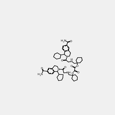 NC(=O)c1ccc2c(c1)CCN(C(=O)CNCC1(OC(=O)C(=O)OC3(CNCC(=O)N4CCc5cc(C(N)=O)ccc5C4C4CCCCC4)CCCCC3)CCCCC1)C2C1CCCCC1